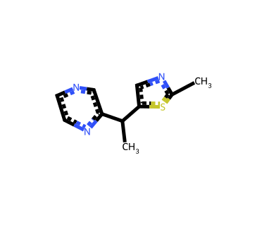 Cc1ncc(C(C)c2cnccn2)s1